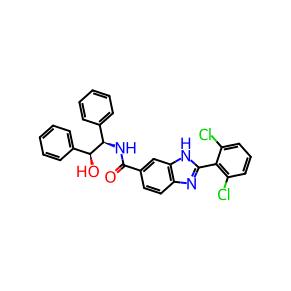 O=C(N[C@H](c1ccccc1)[C@@H](O)c1ccccc1)c1ccc2nc(-c3c(Cl)cccc3Cl)[nH]c2c1